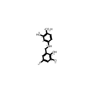 O=C(O)c1ccc(NCc2cc(F)cc(Cl)c2O)cc1O